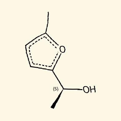 Cc1ccc([C@H](C)O)o1